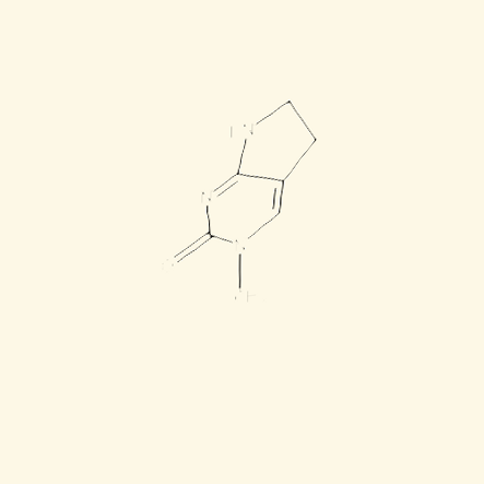 Cn1cc2c(nc1=O)NCC2